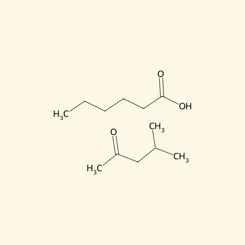 CC(=O)CC(C)C.CCCCCC(=O)O